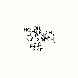 Cc1n(C)c(Sc2cc(O)c(O)c3ccccc23)n[n+]1C.O=C([O-])C(F)(F)F